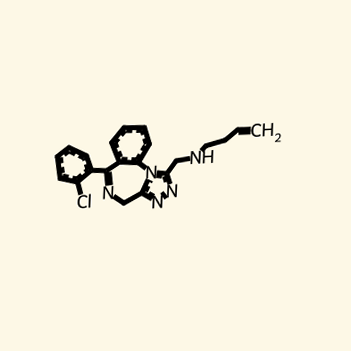 C=CCCNCc1nnc2n1-c1ccccc1C(c1ccccc1Cl)=NC2